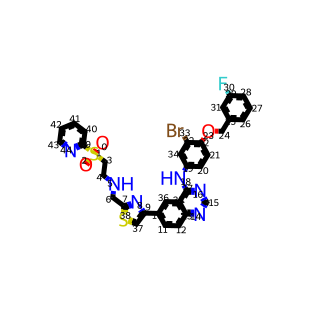 O=S(=O)(CCNCc1nc(-c2ccc3ncnc(Nc4ccc(OCc5cccc(F)c5)c(Br)c4)c3c2)cs1)c1ccccn1